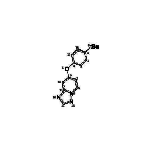 CC(C)(C)c1ccc(Oc2ccn3ncnc3c2)cc1